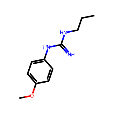 CCCNC(=N)Nc1ccc(OC)cc1